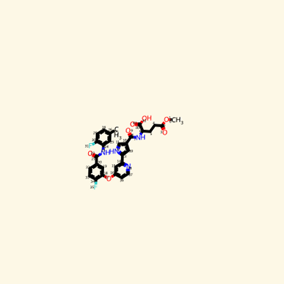 COC(=O)CCC(NC(=O)c1c[nH]c(-c2cc(Oc3cc(C(=O)Nc4cc(C)ccc4F)ccc3F)ccn2)c1)C(=O)O